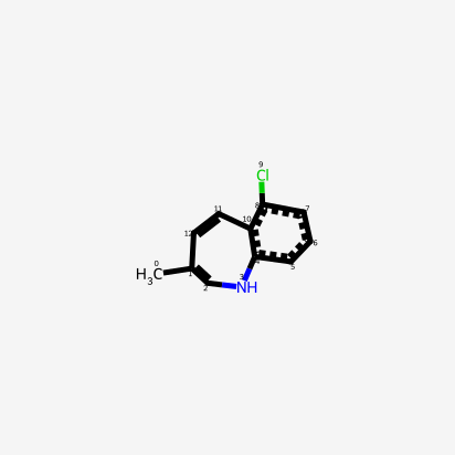 CC1=CNc2cccc(Cl)c2C=C1